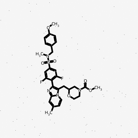 COC(=O)N1CCOC(Cc2c(-c3c(F)cc(S(=O)(=O)N(C)Cc4ccc(OC)cc4)cc3F)nc3cc(C)ccn23)C1